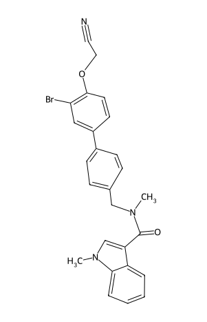 CN(Cc1ccc(-c2ccc(OCC#N)c(Br)c2)cc1)C(=O)c1cn(C)c2ccccc12